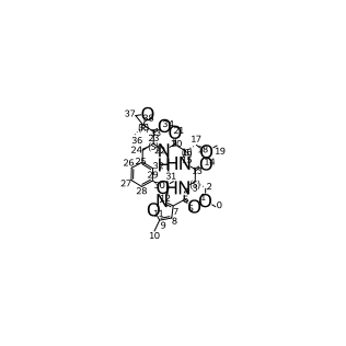 COC[C@H](NC(=O)c1cc(C)on1)C(=O)N[C@@H](COC)C(=O)N[C@@H](Cc1cccc(OC)c1)C(=O)[C@@]1(C)CO1